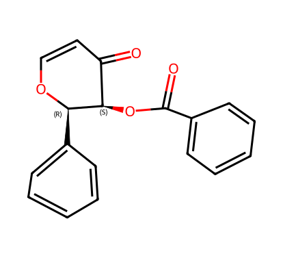 O=C(O[C@@H]1C(=O)C=CO[C@@H]1c1ccccc1)c1ccccc1